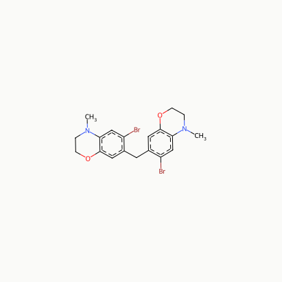 CN1CCOc2cc(Cc3cc4c(cc3Br)N(C)CCO4)c(Br)cc21